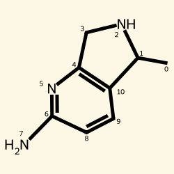 CC1NCc2nc(N)ccc21